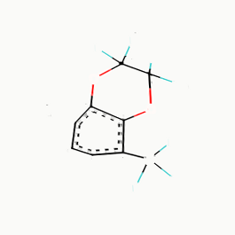 F[B-](F)(F)c1cccc2c1OC(F)(F)C(F)(F)O2.[K+]